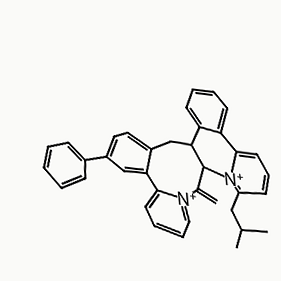 C=C1C2C(Cc3ccc(-c4ccccc4)cc3-c3cccc[n+]31)c1ccccc1-c1cccc(CC(C)C)[n+]12